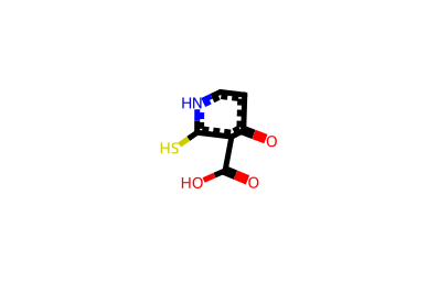 O=C(O)c1c(S)[nH]ccc1=O